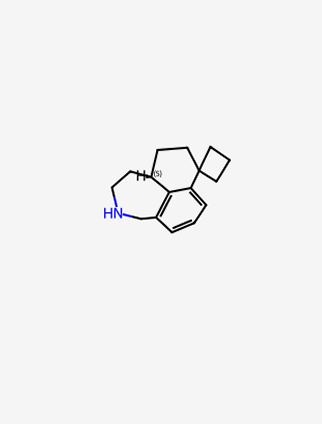 c1cc2c3c(c1)C1(CCC1)CC[C@H]3CCNC2